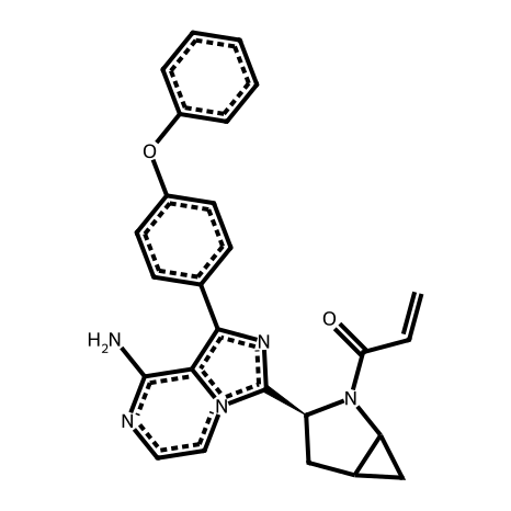 C=CC(=O)N1C2CC2C[C@H]1c1nc(-c2ccc(Oc3ccccc3)cc2)c2c(N)nccn12